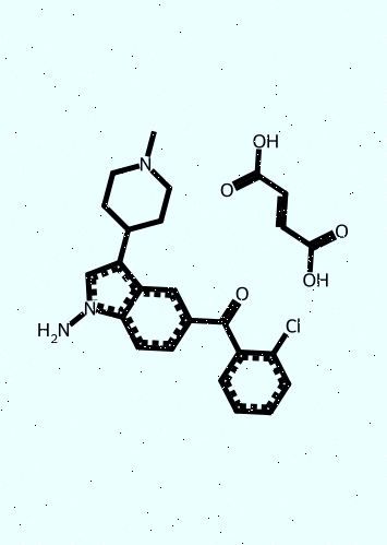 CN1CCC(c2cn(N)c3ccc(C(=O)c4ccccc4Cl)cc23)CC1.O=C(O)/C=C/C(=O)O